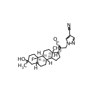 C[C@@]1(O)CC[C@@]2(F)[C@H](CC[C@H]3[C@@H]4CC[C@H](C(=C=O)Cn5cc(C#N)cn5)[C@@]4(C)CC[C@@H]32)C1